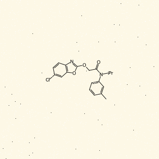 Cc1cccc(N(C(=O)COc2nc3ccc(Cl)cc3o2)C(C)C)c1